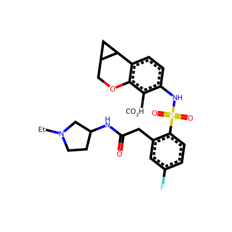 CCN1CCC(NC(=O)Cc2cc(F)ccc2S(=O)(=O)Nc2ccc3c(c2C(=O)O)OCC2CC32)C1